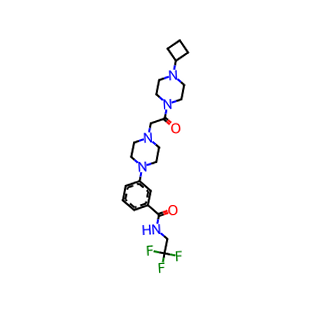 O=C(NCC(F)(F)F)c1cccc(N2CCN(CC(=O)N3CCN(C4CCC4)CC3)CC2)c1